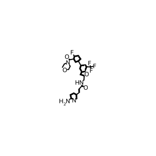 Nc1ccc(C=CC(=O)NCc2cc3cc(-c4ccc(F)c(C(=O)N5CCOCC5)c4)cc(C(F)(F)F)c3o2)cn1